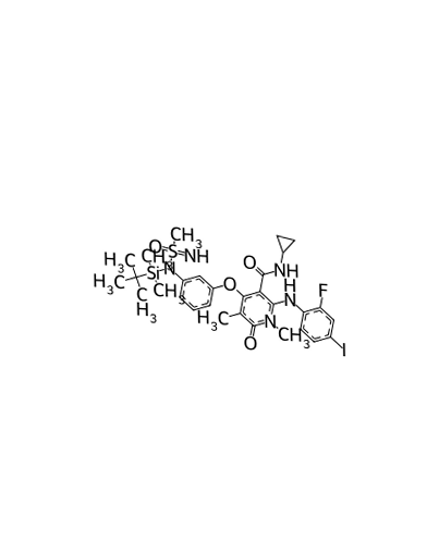 Cc1c(Oc2cccc(N([Si](C)(C)C(C)(C)C)S(C)(=N)=O)c2)c(C(=O)NC2CC2)c(Nc2ccc(I)cc2F)n(C)c1=O